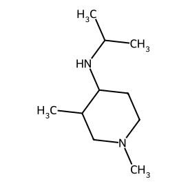 CC(C)NC1CCN(C)CC1C